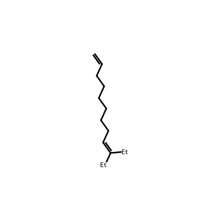 C=CCCCCCCC=C(CC)CC